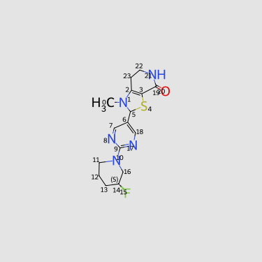 CN1C2=C(SC1c1cnc(N3CCC[C@H](F)C3)nc1)C(=O)NCC2